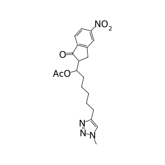 CC(=O)OC(CCCCCc1cn(C)nn1)C1Cc2cc([N+](=O)[O-])ccc2C1=O